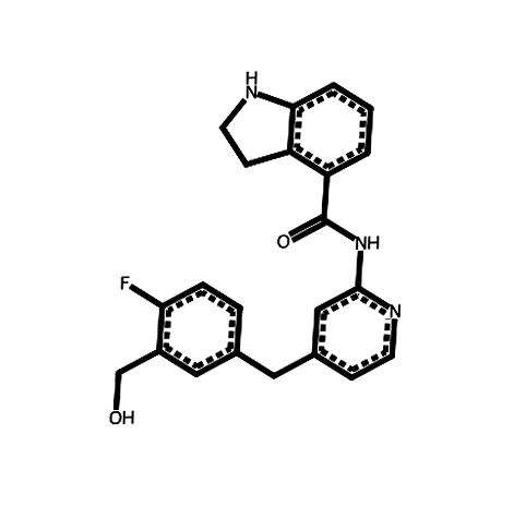 O=C(Nc1cc(Cc2ccc(F)c(CO)c2)ccn1)c1cccc2c1CCN2